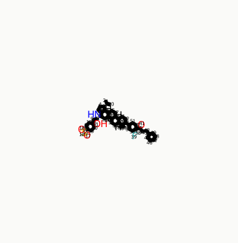 C=C(C)[C@@H]1CC[C@]2(NCC[C@]3(O)CC[C@@H](S(C)(=O)=O)CC3)CC[C@]3(C)[C@H](CC[C@@H]4[C@@]5(C)CC=C(C6=CC[C@](CF)(C(=O)CCc7ccccc7)CC6)C(C)(C)[C@@H]5CC[C@]43C)[C@@H]12